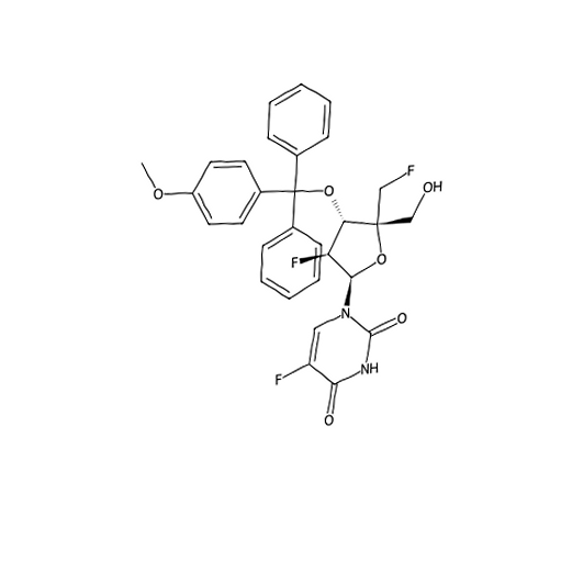 COc1ccc(C(O[C@H]2[C@H](F)[C@H](n3cc(F)c(=O)[nH]c3=O)O[C@@]2(CO)CF)(c2ccccc2)c2ccccc2)cc1